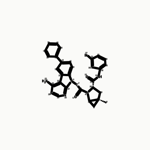 C[C@]12CC1N(C(=O)Cn1c3ccc(-c4ccccc4)cc3c3c(N)ncnc31)[C@H](C(=O)Nc1cccc(Br)n1)C2